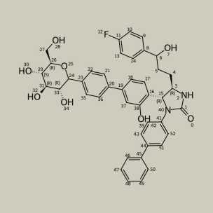 O=C1N[C@H](CCC(O)c2ccc(F)cc2)[C@@H](c2ccc(-c3ccc(C4O[C@H](CO)[C@@H](O)[C@H](O)[C@H]4O)cc3)cc2O)N1c1ccc(-c2ccccc2)cc1